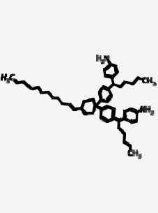 CCCCCCCCCCCCC1CCC(c2ccc(C(CCCCC)c3ccc(N)cc3)cc2)(c2ccc(C(CCCCC)c3ccc(N)cc3)cc2)CC1